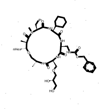 CCCCCC[C@H]1OC[C@@H](C)NC(=O)[C@H](COC[C@@H](O)CO)NC(=O)[C@H](CNC(=O)OCc2ccccc2)NC(=O)[C@H](C2CCCCC2)NC(=O)[C@H](CC(C)C)N(C)C(=O)[C@@H]1C